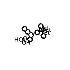 CC[PH](CC)(CC)C(c1ccccc1)(c1ccccc1)c1ccccc1.OB(O)Oc1cccc2ccc3cc4ccccc4cc3c12